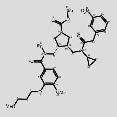 COCCCOc1cc(C(=O)N(C[C@@H]2CN(C(=O)OC(C)(C)C)C[C@H]2CN(C(=O)Cc2cccc([N+](=O)[O-])c2)C2CC2)C(C)C)ccc1OC